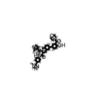 Cn1cnnc1-c1ccc(NC(=O)C(Cc2cc(-c3ccc(O)c(C(=O)N4CCOCC4)c3)ccc2Cl)NC(=O)c2ccnn2C)cc1